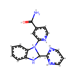 NC(=O)c1ccnc(N2c3ccccc3NC2c2ncccn2)c1